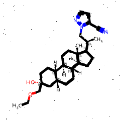 CCOC[C@@]1(O)CC[C@H]2[C@H](CC[C@@H]3[C@@H]2CC[C@]2(C)C([C@H](C)Cn4nccc4C#N)CC[C@@H]32)C1